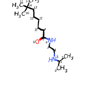 CC(C)NCCNC(=O)CCCCCC(C)(C)C